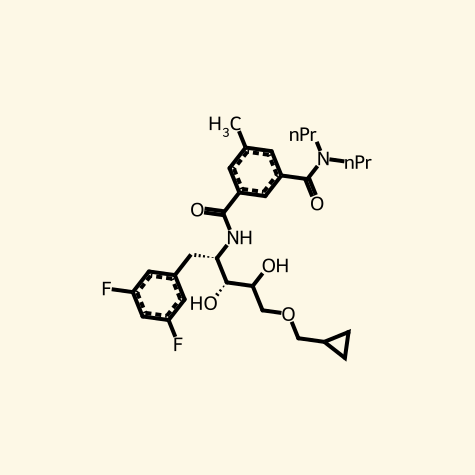 CCCN(CCC)C(=O)c1cc(C)cc(C(=O)N[C@@H](Cc2cc(F)cc(F)c2)[C@@H](O)C(O)COCC2CC2)c1